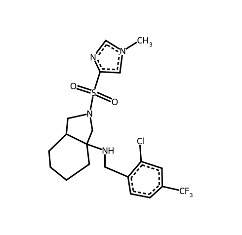 Cn1cnc(S(=O)(=O)N2CC3CCCCC3(NCc3ccc(C(F)(F)F)cc3Cl)C2)c1